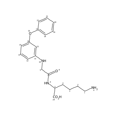 NCCCCC(NC(=O)CNc1cccc(Oc2ccccc2)c1)C(=O)O